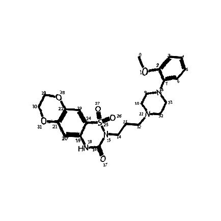 COc1ccccc1N1CCN(CCCN2C(=O)Nc3cc4c(cc3S2(=O)=O)OCCO4)CC1